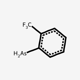 FC(F)(F)c1ccccc1[AsH2]